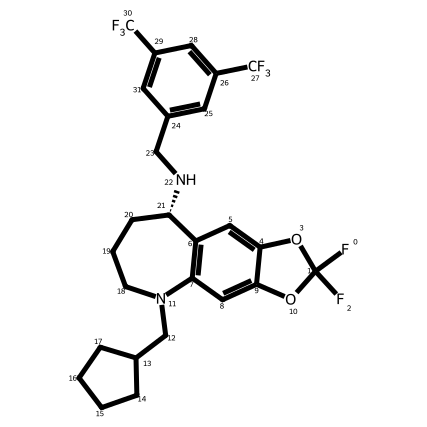 FC1(F)Oc2cc3c(cc2O1)N(CC1CCCC1)CCC[C@@H]3NCc1cc(C(F)(F)F)cc(C(F)(F)F)c1